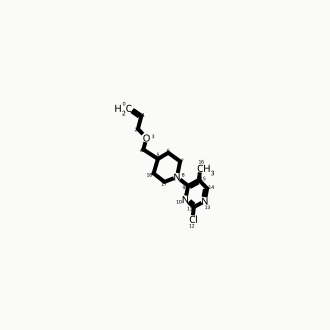 C=CCOCC1CCN(c2nc(Cl)ncc2C)CC1